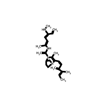 C=C/C(=C\C=C(/C)NC(=C)N1C(C)=C(/C=C\C(=C)/C(C)=C/C)N2CCC1C2)NC